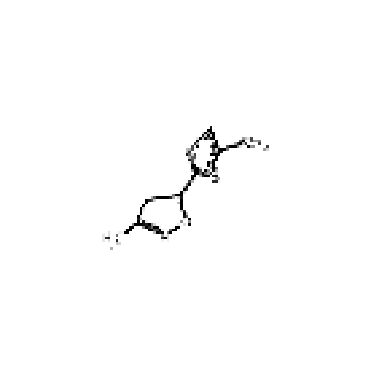 CC1=NOC(c2ncc(C)s2)C1